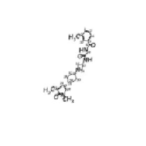 Cc1cccc(C(=O)NCC(=O)NC2CN([C@H]3CC[C@@H](c4cc(C)c(=O)n(C)c4)CC3)C2)c1